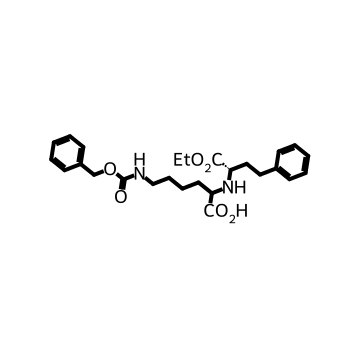 CCOC(=O)[C@H](CCc1ccccc1)NC(CCCCNC(=O)OCc1ccccc1)C(=O)O